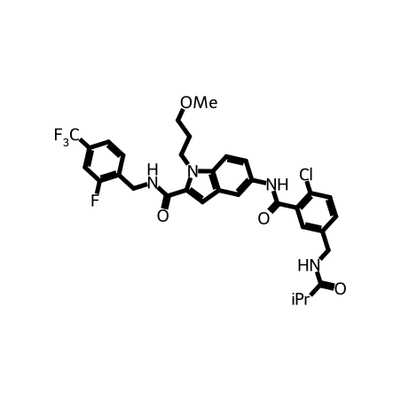 COCCCn1c(C(=O)NCc2ccc(C(F)(F)F)cc2F)cc2cc(NC(=O)c3cc(CNC(=O)C(C)C)ccc3Cl)ccc21